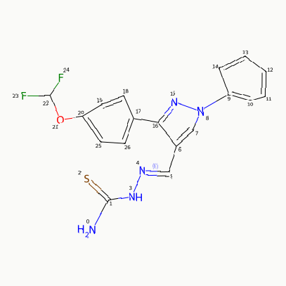 NC(=S)N/N=C/c1cn(-c2ccccc2)nc1-c1ccc(OC(F)F)cc1